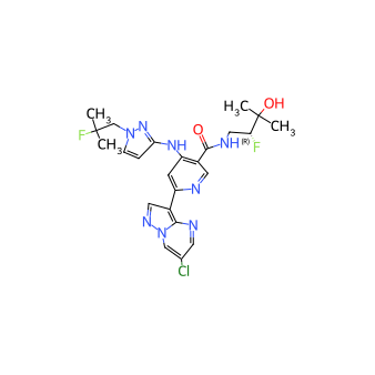 CC(C)(F)Cn1ccc(Nc2cc(-c3cnn4cc(Cl)cnc34)ncc2C(=O)NC[C@@H](F)C(C)(C)O)n1